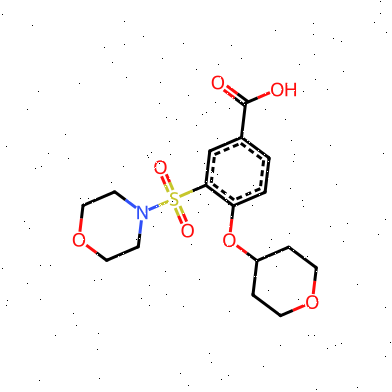 O=C(O)c1ccc(OC2CCOCC2)c(S(=O)(=O)N2CCOCC2)c1